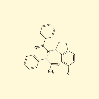 NC(=O)[C@H](c1ccccc1)N(C(=O)c1ccccc1)[C@@H]1CCc2ccc(Cl)cc21